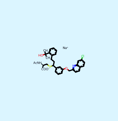 CC(=O)N[C@@H](CSC(CCc1ccccc1C(C)(C)O)c1cccc(OCc2ccc3ccc(Cl)cc3n2)c1)C(=O)[O-].[Na+]